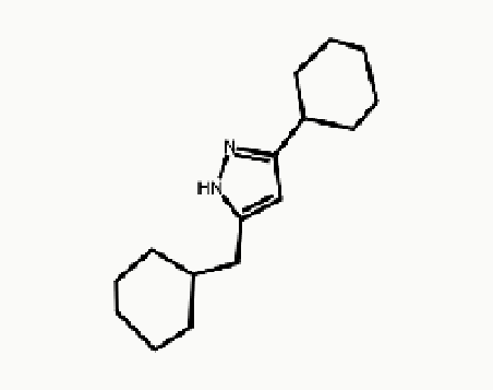 c1c(C2CCCCC2)n[nH]c1CC1CCCCC1